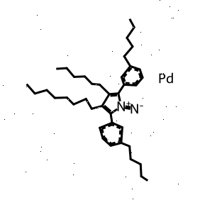 CCCCCCCCC1=C(c2cccc(CCCCC)c2)[N+](=[N-])C(c2cccc(CCCCC)c2)=C1CCCCCC.[Pd]